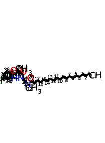 CCC=CCC=CCC=CCC=CCC=CCCCC(=O)N(C)CCNC(=O)C(C)(C)Oc1ccc(Cl)cc1